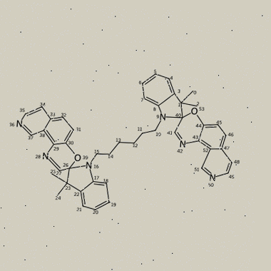 CC1(C)c2ccccc2N(CCCCCCN2c3ccccc3C(C)(C)C23C=Nc2c(ccc4ccncc24)O3)C12C=Nc1c(ccc3ccncc13)O2